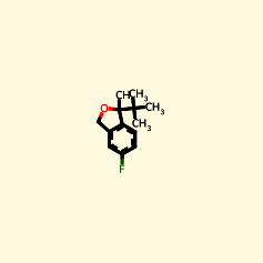 CC(C)(C)C1(C)OCc2cc(F)ccc21